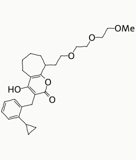 COCCOCCOCCC1CCCCc2c1oc(=O)c(Cc1ccccc1C1CC1)c2O